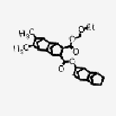 CCOCOC(=O)C1C2CC(C1C(=O)OC1CC3CC1C1C4CCC(C4)C31)C1C3CC(C(C)C3C)C21